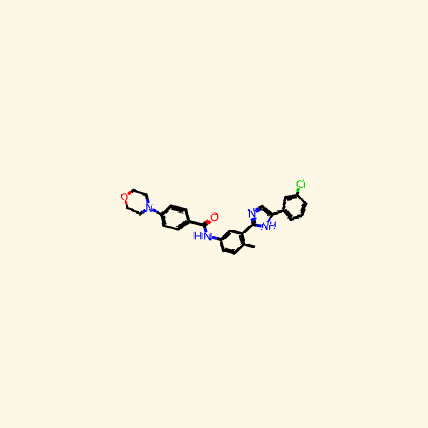 Cc1ccc(NC(=O)c2ccc(N3CCOCC3)cc2)cc1-c1ncc(-c2cccc(Cl)c2)[nH]1